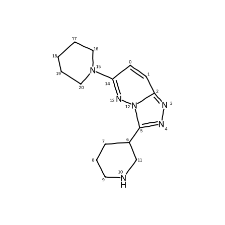 c1cc2nnc(C3CCCNC3)n2nc1N1CCCCC1